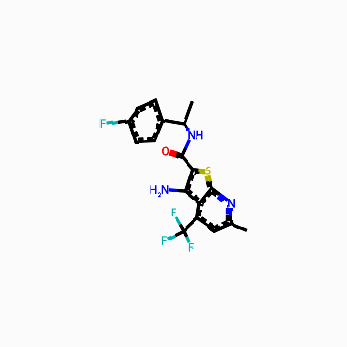 Cc1cc(C(F)(F)F)c2c(N)c(C(=O)NC(C)c3ccc(F)cc3)sc2n1